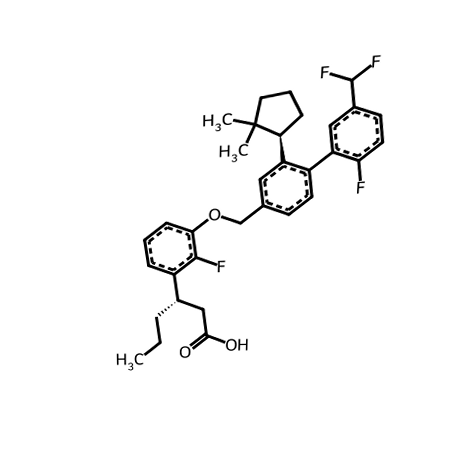 CCC[C@@H](CC(=O)O)c1cccc(OCc2ccc(-c3cc(C(F)F)ccc3F)c([C@@H]3CCCC3(C)C)c2)c1F